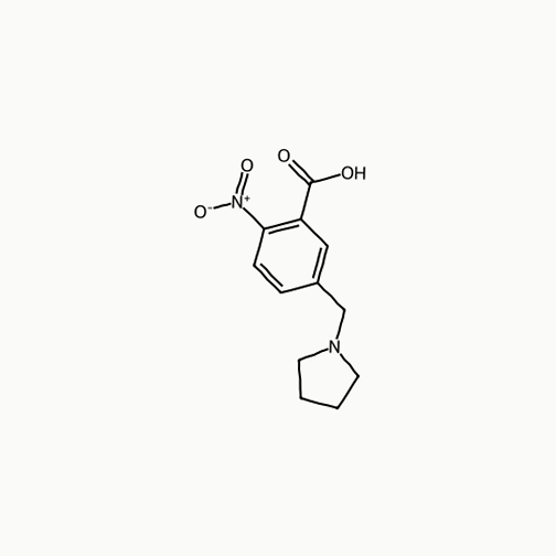 O=C(O)c1cc(CN2CCCC2)ccc1[N+](=O)[O-]